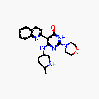 CC1CCC(Nc2nc(N3CCOCC3)[nH]c(=O)c2-c2ccc3ccccc3n2)CN1